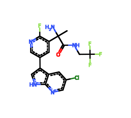 CC(N)(C(=O)NCC(F)(F)F)c1cc(-c2c[nH]c3ncc(Cl)cc23)cnc1F